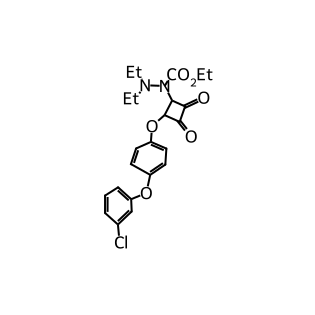 CCOC(=O)N(C1C(=O)C(=O)C1Oc1ccc(Oc2cccc(Cl)c2)cc1)N(CC)CC